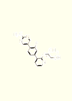 Cc1ncc(-c2ccc(-c3cccnc3O[C@H](C)CO)cc2F)cn1